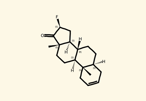 C[C@]12CC=CC[C@@H]1CC[C@@H]1[C@@H]2CC[C@]2(C)C(=O)[C@@H](F)C[C@@H]12